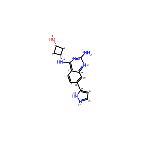 Nc1nc(N[C@H]2C[C@@H](O)C2)c2ccc(-c3ccn[nH]3)cc2n1